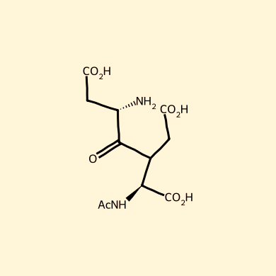 CC(=O)N[C@H](C(=O)O)C(CC(=O)O)C(=O)[C@@H](N)CC(=O)O